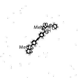 CNC(=O)[C@@](C)(C(=O)NOC1CCCCO1)N(C)C(=O)c1ccc(C#Cc2ccc([C@@H](COC)OC3CCCCO3)cc2)cc1